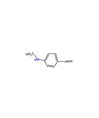 CCCCCCc1ccc(NC(=O)O)cc1